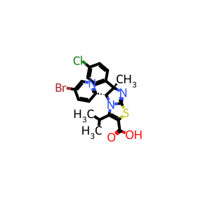 CC(C)C1=C(C(=O)O)SC2=N[C@@](C)(c3ccc(Cl)cc3)[C@@H](c3ccc(Br)cn3)N21